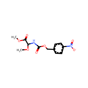 COC(=O)C(NC(=O)OCc1ccc([N+](=O)[O-])cc1)OC